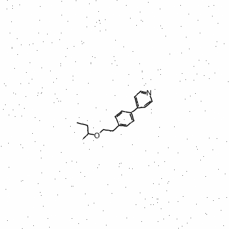 CCC(C)OCCc1ccc(-c2ccncc2)cc1